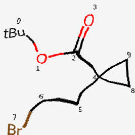 CC(C)(C)OC(=O)C1(CCBr)CC1